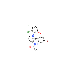 O=C(N[C@H]1CCCN2c3c(ccc(Cl)c3Cl)Oc3cc(Br)ccc3[C@@H]12)C(F)(F)F